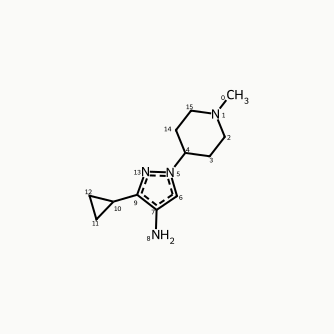 CN1CCC(n2cc(N)c(C3CC3)n2)CC1